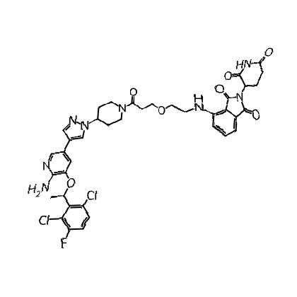 C[C@@H](Oc1cc(-c2cnn(C3CCN(C(=O)CCOCCNc4cccc5c4C(=O)N(C4CCC(=O)NC4=O)C5=O)CC3)c2)cnc1N)c1c(Cl)ccc(F)c1Cl